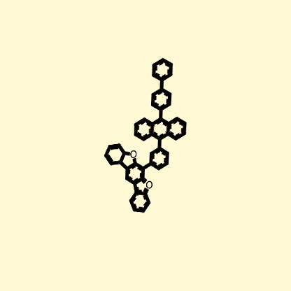 C1=CC2Oc3c(cc4c(oc5ccccc54)c3-c3cccc(-c4c5ccccc5c(-c5ccc(-c6ccccc6)cc5)c5ccccc45)c3)C2C=C1